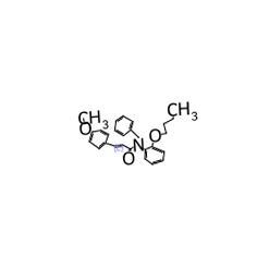 CCCCOc1ccccc1N(Cc1ccccc1)C(=O)/C=C/c1ccc(OC)cc1